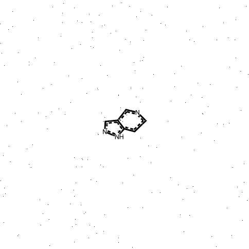 [c]1n[nH]c2ccncc12